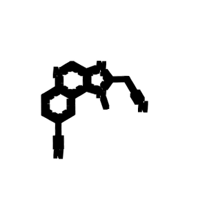 Cn1c(CC#N)nc2cnc3ccc(C#N)cc3c21